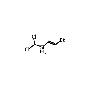 CCC=C[SiH2]C(Cl)Cl